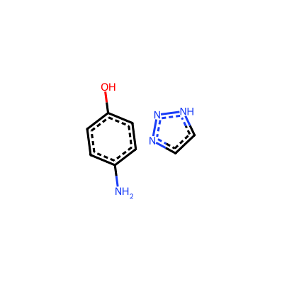 Nc1ccc(O)cc1.c1c[nH]nn1